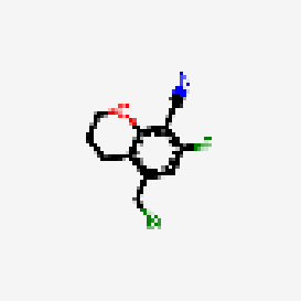 N#Cc1c(F)cc(CBr)c2c1OCCC2